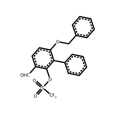 O=Cc1ccc(OCc2ccccc2)c(-c2ccccc2)c1OS(=O)(=O)C(F)(F)F